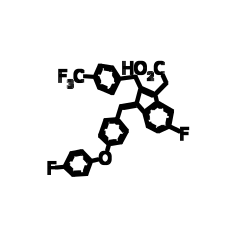 O=C(O)CC1=C(Cc2ccc(C(F)(F)F)cc2)/C(=C/c2ccc(Oc3ccc(F)cc3)cc2)c2ccc(F)cc21